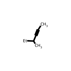 CC#CC(C)CC